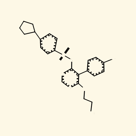 CC(C)c1ccc(-c2c(NS(=O)(=O)c3ccc(C4CCCC4)cc3)ncnc2OCCO)cc1